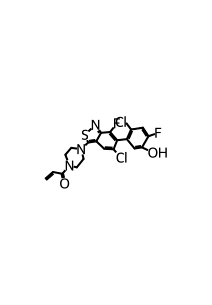 C=CC(=O)N1CCN(c2snc3c(F)c(-c4cc(O)c(F)cc4Cl)c(Cl)cc23)CC1